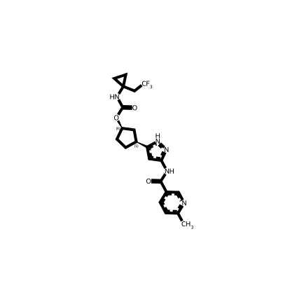 Cc1ccc(C(=O)Nc2cc([C@H]3CC[C@@H](OC(=O)NC4(CC(F)(F)F)CC4)C3)[nH]n2)cn1